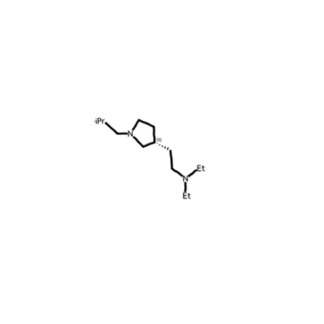 CCN(CC)CC[C@H]1CCN(C[C](C)C)C1